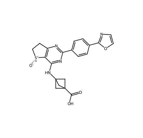 O=C(O)C12CC(Nc3nc(-c4ccc(-c5ncco5)cc4)nc4c3[S@+]([O-])CC4)(C1)C2